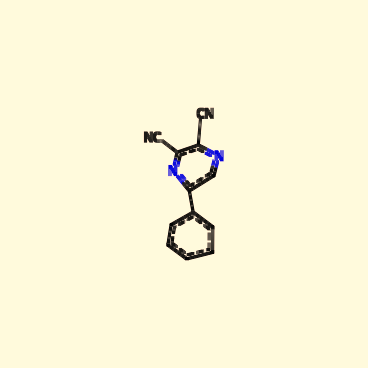 N#Cc1ncc(-c2ccccc2)nc1C#N